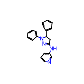 c1ccc(C2CC(Nc3cccnc3)=NN2c2ccccc2)cc1